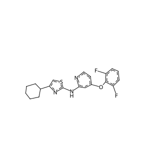 Fc1cccc(F)c1Oc1ccnc(Nc2nc(C3CCCCC3)cs2)c1